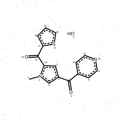 Cl.Cn1cc(C(=O)c2ccncc2)cc1C(=O)c1cccs1